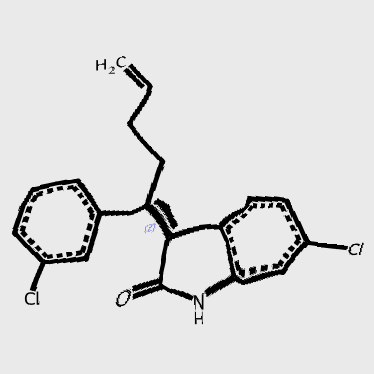 C=CCC/C(=C1/C(=O)Nc2cc(Cl)ccc21)c1cccc(Cl)c1